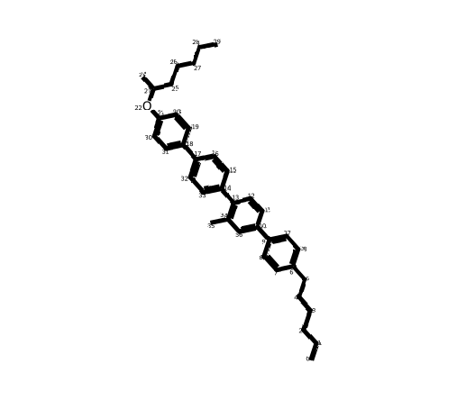 CCCCCCc1ccc(-c2ccc(-c3ccc(-c4ccc(OC(C)CCCCC)cc4)cc3)c(C)c2)cc1